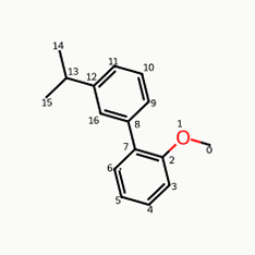 COc1ccc[c]c1-c1cccc(C(C)C)c1